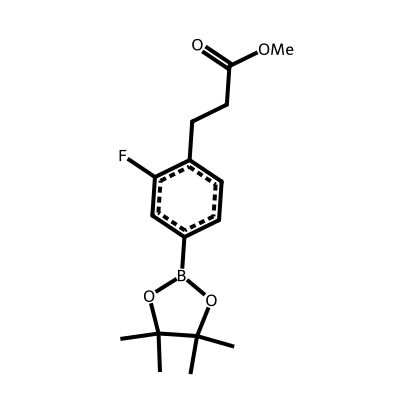 COC(=O)CCc1ccc(B2OC(C)(C)C(C)(C)O2)cc1F